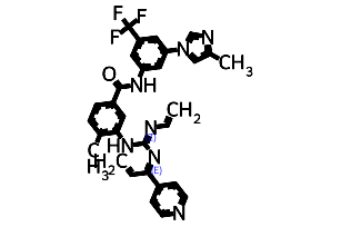 C=C/N=C(\N=C(/C=C)c1ccncc1)Nc1cc(C(=O)Nc2cc(-n3cnc(C)c3)cc(C(F)(F)F)c2)ccc1C